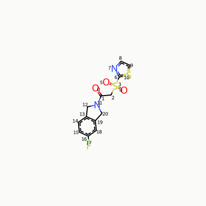 O=C(CS(=O)(=O)c1nccs1)N1Cc2ccc(F)cc2C1